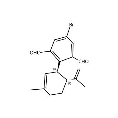 C=C(C)[C@@H]1CCC(C)=C[C@H]1c1c(C=O)cc(Br)cc1C=O